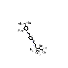 [C-]#[N+]C1=C(/C=C/C=C/c2ccc(/C=C/c3ccc(N(CCCC)CCCC)cc3OC)s2)C(C)(C)OC1=C(C#N)C#N